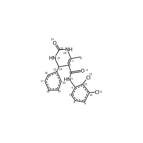 CC1=C(C(=O)Nc2cccc(Cl)c2Cl)C(c2ccccc2)NC(=O)N1